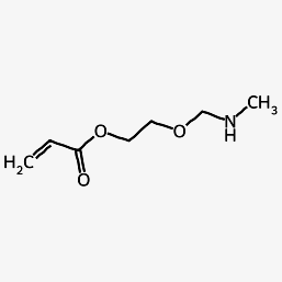 C=CC(=O)OCCOCNC